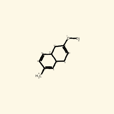 CCOC1=CCC2C=C(C)C=CC2C1